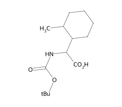 CC1CCCCC1C(NC(=O)OC(C)(C)C)C(=O)O